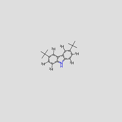 [2H]c1c(C(C)(C)C)c([2H])c2c([nH]c3c([2H])c([2H])c(C(C)(C)C)c([2H])c32)c1[2H]